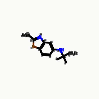 CCOC(=O)C(C)(C)Nc1ccc2sc(NC(C)=O)nc2c1